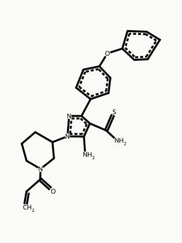 C=CC(=O)N1CCCC(n2nc(-c3ccc(Oc4ccccc4)cc3)c(C(N)=S)c2N)C1